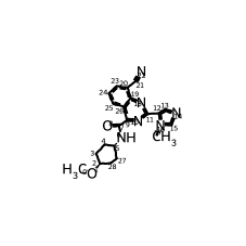 CO[C@H]1CC[C@H](NC(=O)c2nc(-c3cncn3C)nc3c(C#N)cccc23)CC1